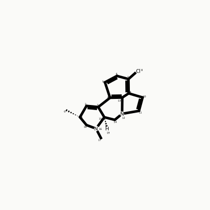 C[C@@H]1C=C2c3ccc(Cl)c4ccn(c34)C[C@H]2N(C)C1